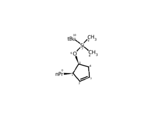 CCC[C@@H]1C=CC[C@@H]1O[Si](C)(C)C(C)(C)C